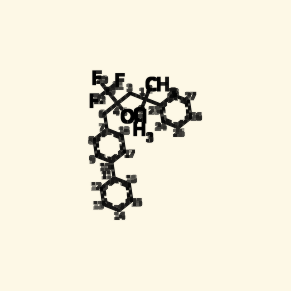 CC(C)(CC(O)(Cc1ccc(-c2ccccc2)cc1)C(F)(F)F)c1ccccc1